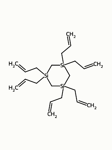 C=CC[Si]1(CC=C)C[Si](CC=C)(CC=C)C[Si](CC=C)(CC=C)C1